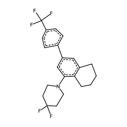 FC1(F)CCN(c2cc(-c3ccc(C(F)(F)F)cc3)cc3c2CCCC3)CC1